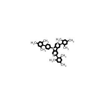 Cc1cc(C)c(-c2ccc(-n3c4cnc(-c5c(C)cc(C)cc5C)cc4c4cc(-c5c(C)cc(C)cc5C)ncc43)cc2)c(C)c1